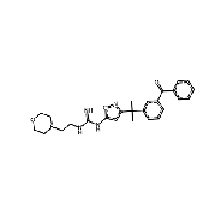 CC(C)(c1cccc(C(=O)c2ccccc2)c1)c1cc(NC(=N)NCCN2CCOCC2)on1